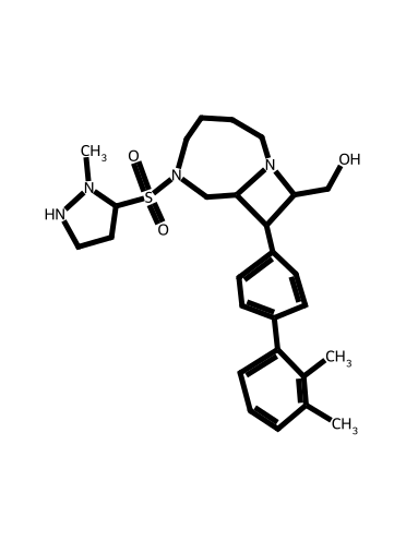 Cc1cccc(-c2ccc(C3C(CO)N4CCCCN(S(=O)(=O)C5CCNN5C)CC34)cc2)c1C